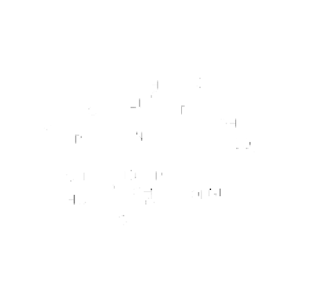 CCN(C(P(=O)(O)O)P(=O)(O)O)C(C(N)C(=O)O)(P(=O)(O)O)P(=O)(O)O